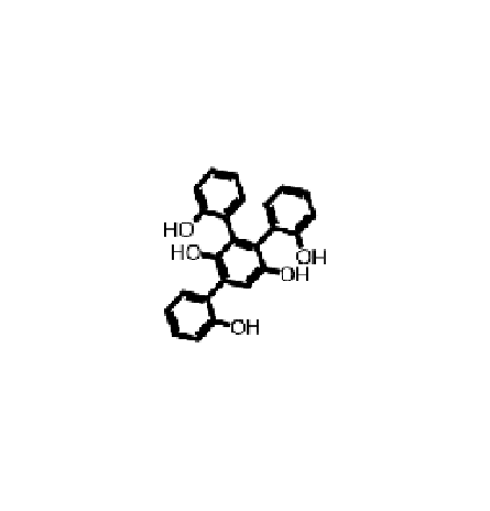 Oc1ccccc1-c1cc(O)c(-c2ccccc2O)c(-c2ccccc2O)c1O